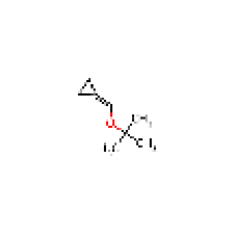 CC(C)(C)OC=C1CC1